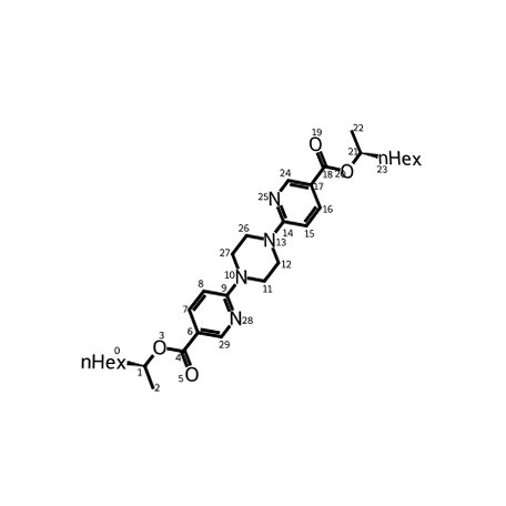 CCCCCC[C@H](C)OC(=O)c1ccc(N2CCN(c3ccc(C(=O)O[C@@H](C)CCCCCC)cn3)CC2)nc1